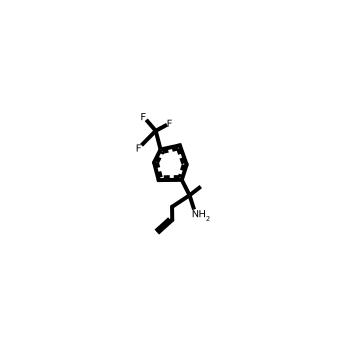 C=CCC(C)(N)c1ccc(C(F)(F)F)cc1